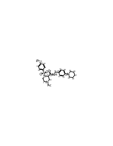 CC(=O)N1CCN(S(=O)(=O)c2ccc(C(C)C)cc2)C(C(=O)NCc2ccc(N3CCCCC3)cc2)C1